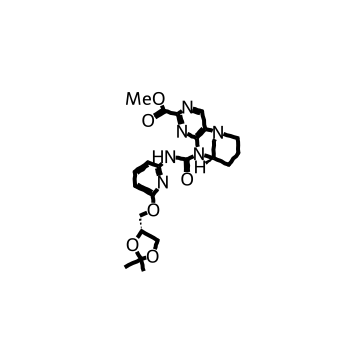 COC(=O)c1ncc2c(n1)N(C(=O)Nc1cccc(OC[C@@H]3COC(C)(C)O3)n1)[C@H]1CCCN2C1